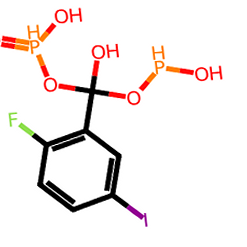 O=[PH](O)OC(O)(OPO)c1cc(I)ccc1F